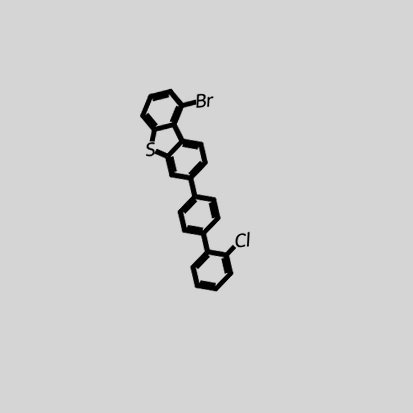 Clc1ccccc1-c1ccc(-c2ccc3c(c2)sc2cccc(Br)c23)cc1